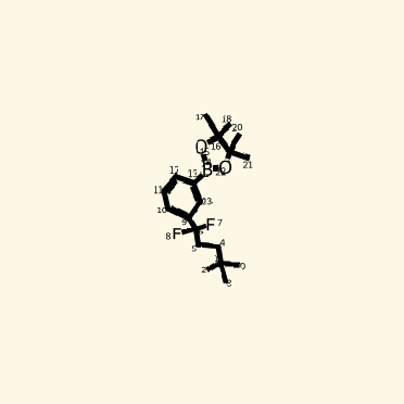 CC(C)(C)CCC(F)(F)c1cccc(B2OC(C)(C)C(C)(C)O2)c1